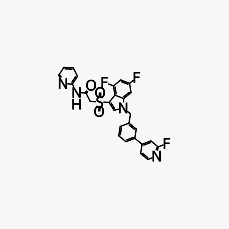 O=C(CS(=O)(=O)c1cn(Cc2cccc(-c3ccnc(F)c3)c2)c2cc(F)cc(F)c12)Nc1ccccn1